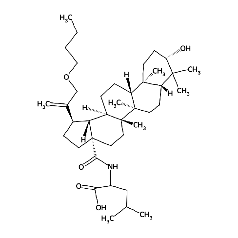 C=C(COCCCC)[C@@H]1CC[C@]2(C(=O)NC(CC(C)C)C(=O)O)CC[C@]3(C)[C@H](CC[C@@H]4[C@@]5(C)CC[C@H](O)C(C)(C)[C@@H]5CC[C@]43C)[C@@H]12